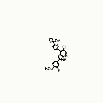 OCc1ccc(-c2cc3c(-c4cnc(C5(O)CCC5)s4)c(Cl)cnc3[nH]2)cc1F